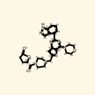 O=C1CC[C@@H](C(=O)N2CCN(Cc3cc4nc(-c5cccc6[nH]ncc56)nc(N5CCOCC5)c4s3)CC2)O1